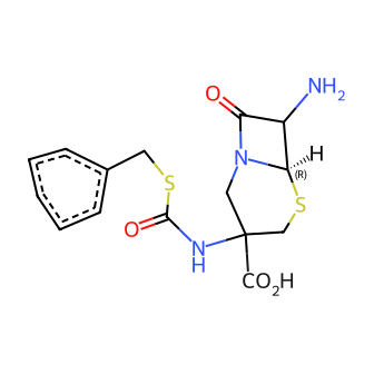 NC1C(=O)N2CC(NC(=O)SCc3ccccc3)(C(=O)O)CS[C@H]12